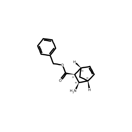 N[C@H]1[C@@H](C(=O)OCc2ccccc2)[C@@H]2C=C[C@H]1C2